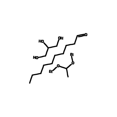 CCCCCCCCCC=O.CCOC(C)OCC.OCC(O)CO